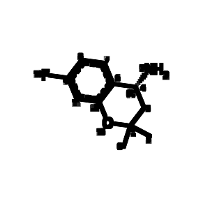 CC1(C)C[C@@H](N)c2ccc(F)cc2O1